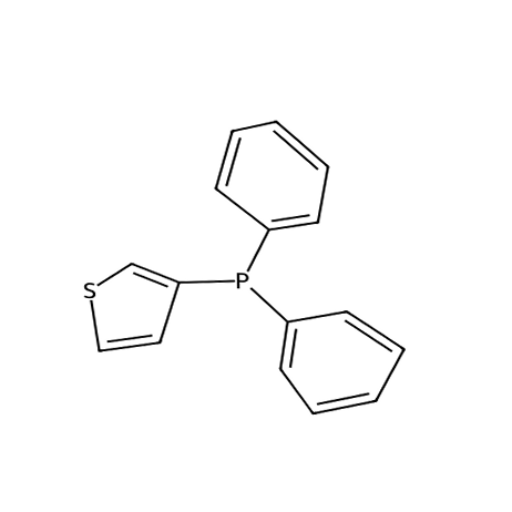 c1ccc(P(c2ccccc2)c2ccsc2)cc1